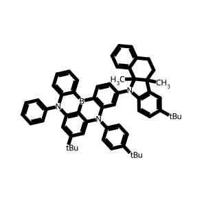 CC(C)(C)c1ccc(N2c3cc(N4c5ccc(C(C)(C)C)cc5C5(C)CCc6ccccc6C45C)ccc3B3c4ccccc4N(c4ccccc4)c4cc(C(C)(C)C)cc2c43)cc1